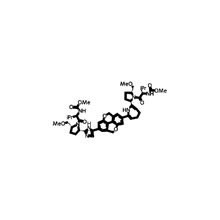 COC[C@H]1CC[C@@H](C2=CCCC=C(c3cc4c5c(c3)OCc3cc(-c6cnc([C@@H]7CC[C@H](COC)N7C(=O)C(NC(=O)OC)C(C)C)[nH]6)cc(c3-5)OC4)N2)N1C(=O)[C@@H](NC(=O)OC)C(C)C